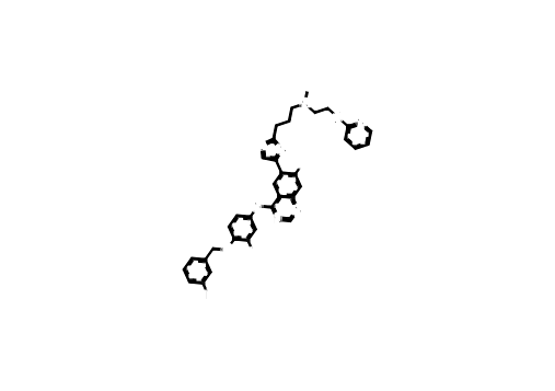 CN(CCCc1nc(-c2cc3c(Nc4ccc(OCc5cccc(F)c5)c(Cl)c4)ncnc3cc2F)cs1)CCS(=O)(=O)c1ccccn1